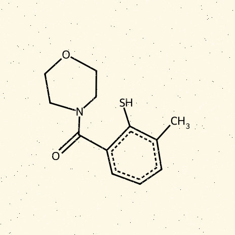 Cc1cccc(C(=O)N2CCOCC2)c1S